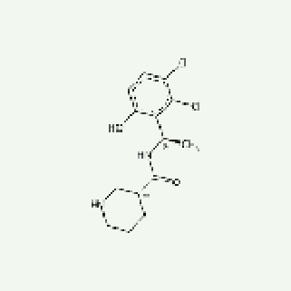 C[C@@H](NC(=O)[C@@H]1CCCNC1)c1c(O)ccc(Cl)c1Cl